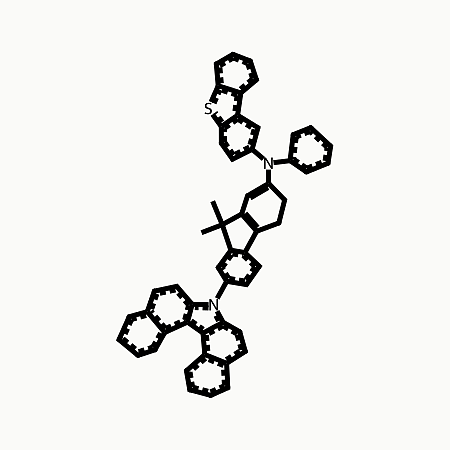 CC1(C)C2=C(CCC(N(c3ccccc3)c3ccc4sc5ccccc5c4c3)=C2)c2ccc(-n3c4ccc5ccccc5c4c4c5ccccc5ccc43)cc21